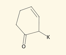 O=C1CCC=C[CH]1[K]